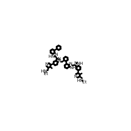 CCNCc1cncc(-c2ccc3[nH]nc(-c4nc5c(-c6ccccc6Cn6nc(-c7nc8c(-c9ccccc9)cccc8[nH]7)c7cc(-c8cncc(CNCC)c8C)ccc76)cccc5[nH]4)c3c2)c1C